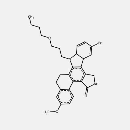 CCCCOCCCN1c2c3c(c4c(c2C2C=C(Br)C=CC21)CNC4=O)-c1ccc(OC)cc1CC3